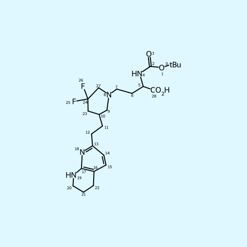 CC(C)(C)OC(=O)NC(CCN1CC(CCc2ccc3c(n2)NCCC3)CC(F)(F)C1)C(=O)O